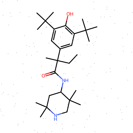 CCC(C)(C(=O)NC1CC(C)(C)NCC1(C)C)c1cc(C(C)(C)C)c(O)c(C(C)(C)C)c1